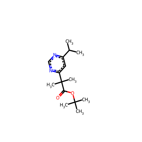 CC(C)c1cc(C(C)(C)C(=O)OC(C)(C)C)ncn1